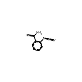 [N-]=[N+]=Nc1ccccc1C(=N)N